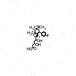 COC1(C)CC(c2ccc(F)cc2)=C(C=CC(O)CC(O)CC(=O)O)C(C)(C)C1